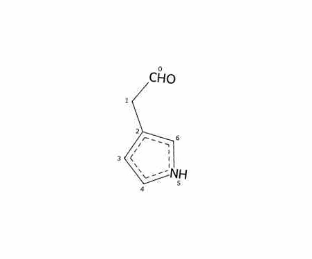 O=CCc1cc[nH]c1